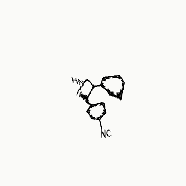 [C-]#[N+]c1ccc(C2=NNCC2c2ccccc2)cc1